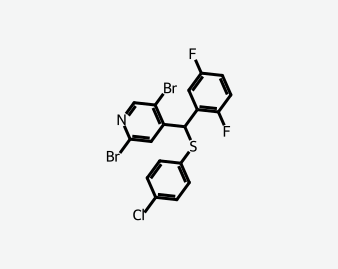 Fc1ccc(F)c(C(Sc2ccc(Cl)cc2)c2cc(Br)ncc2Br)c1